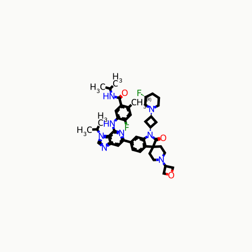 Cc1cc(F)c(Nc2nc(-c3ccc4c(c3)N([C@H]3C[C@@H](N5CCC[C@@H](F)C5)C3)C(=O)C43CCN(C4COC4)CC3)cc3ncn(C(C)C)c23)cc1C(=O)NC(C)C